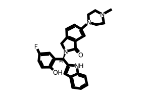 CN1CCN(c2ccc3c(c2)C(=O)N([C@@H](c2cc4ccccc4[nH]2)c2cc(F)ccc2O)C3)CC1